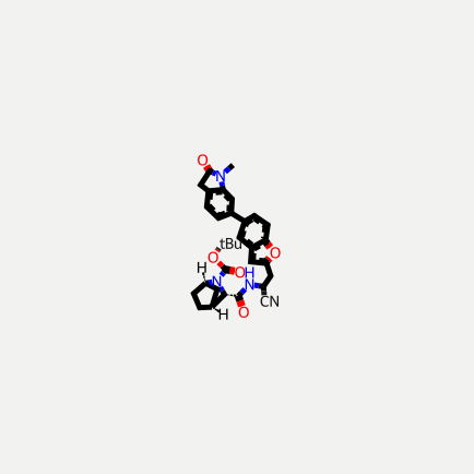 CN1C(=O)Cc2ccc(-c3ccc4oc(CC(C#N)NC(=O)[C@@H]5[C@H]6CC[C@H](C6)N5C(=O)OC(C)(C)C)cc4c3)cc21